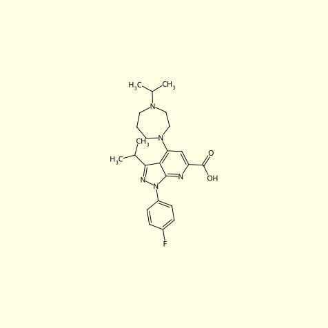 CC(C)c1nn(-c2ccc(F)cc2)c2nc(C(=O)O)cc(N3CCCN(C(C)C)CC3)c12